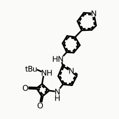 CC(C)(C)Nc1c(Nc2ccnc(Nc3ccc(-c4ccncc4)cc3)c2)c(=O)c1=O